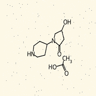 CC(=O)O.O=C1CC(O)CN1C1CCNCC1